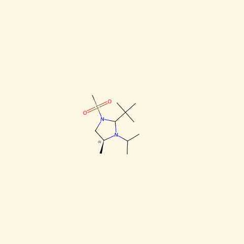 CC(C)N1C(C(C)(C)C)N(S(C)(=O)=O)C[C@@H]1C